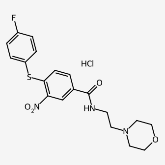 Cl.O=C(NCCN1CCOCC1)c1ccc(Sc2ccc(F)cc2)c([N+](=O)[O-])c1